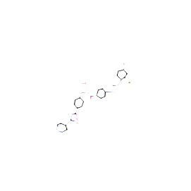 COc1ccc(CC(=O)Nc2ccc(C(=O)N(Cc3ccc(-c4nc(-c5ccncc5)no4)cc3)CC(O)O)cc2)c(C(F)(F)F)c1